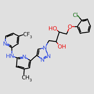 Cc1cc(Nc2cc(C(F)(F)F)ccn2)nc(-c2cn(CC(O)C(O)COc3ccccc3Cl)nn2)c1